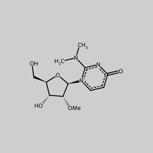 CO[C@@H]1[C@H](O)[C@@H](CO)O[C@H]1n1ccc(=O)nc1N(C)C